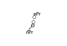 CCC/C=C/C=C/CO[C@H]1CC[C@H](C2CCC(CCC)CC2)CC1